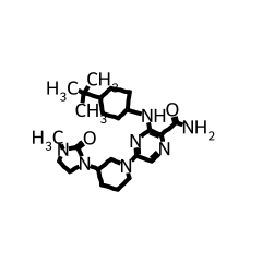 CN1CCN(C2CCCN(c3cnc(C(N)=O)c(NC4CCC(C(C)(C)C)CC4)n3)C2)C1=O